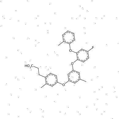 Cc1cc(Oc2ccc(CCC(=O)O)c(C)c2)cc(Oc2ccc(F)cc2Oc2ccccc2C)c1